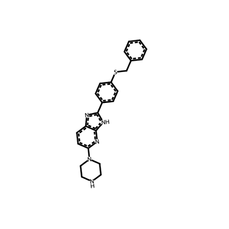 c1ccc(CSc2ccc(-c3nc4ccc(N5CCNCC5)nc4[nH]3)cc2)cc1